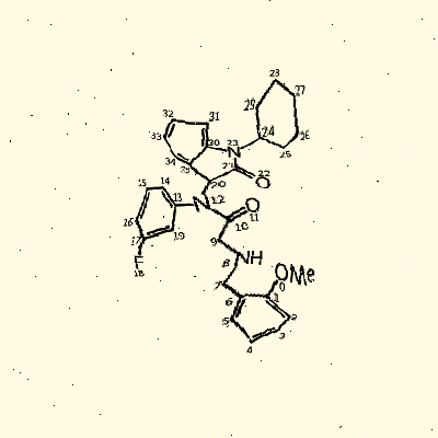 COc1ccccc1CNCC(=O)N(c1cccc(F)c1)C1C(=O)N(C2CCCCC2)c2ccccc21